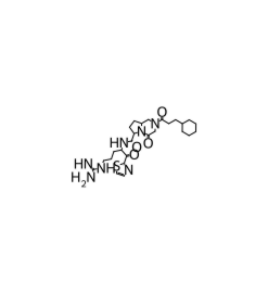 N=C(N)NCCCC(NC(=O)C1CCC2CN(C(=O)CCC3CCCCC3)CC(=O)N21)C(=O)c1nccs1